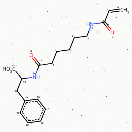 C=CC(=O)NCCCCCC(=O)NC(Cc1ccccc1)C(=O)O